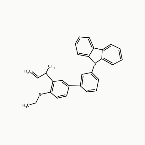 C=CC(C)c1cc(-c2cccc(-n3c4ccccc4c4ccccc43)c2)ccc1SCC